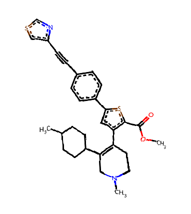 COC(=O)c1sc(-c2ccc(C#Cc3cscn3)cc2)cc1C1=C(C2CCC(C)CC2)CN(C)CC1